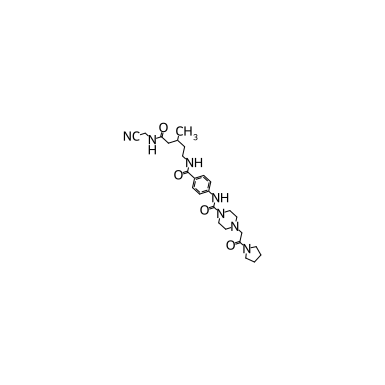 CC(CCNC(=O)c1ccc(NC(=O)N2CCN(CC(=O)N3CCCC3)CC2)cc1)CC(=O)NCC#N